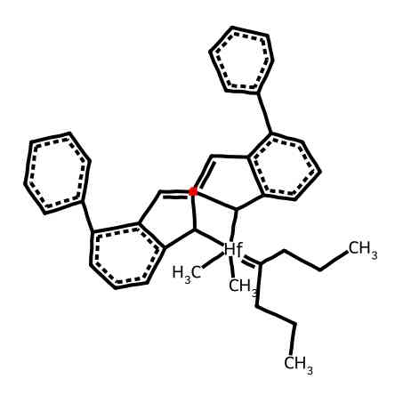 CCC[C](CCC)=[Hf]([CH3])([CH3])([CH]1C=Cc2c(-c3ccccc3)cccc21)[CH]1C=Cc2c(-c3ccccc3)cccc21